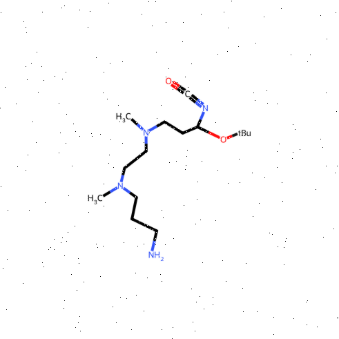 CN(CCCN)CCN(C)CCC(N=C=O)OC(C)(C)C